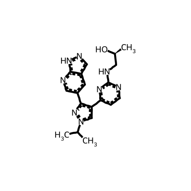 CC(C)n1cc(-c2ccnc(NC[C@H](C)O)n2)c(-c2cnc3[nH]ncc3c2)n1